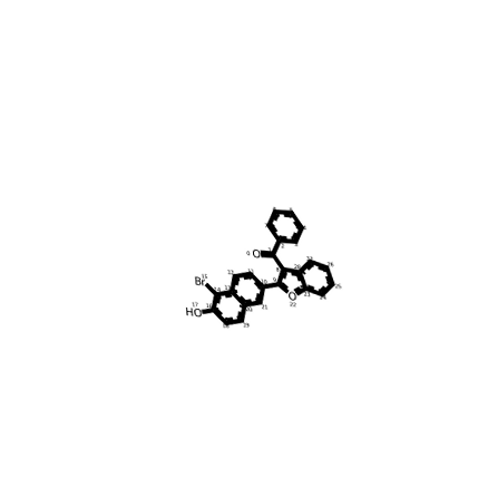 O=C(c1ccccc1)c1c(-c2ccc3c(Br)c(O)ccc3c2)oc2ccccc12